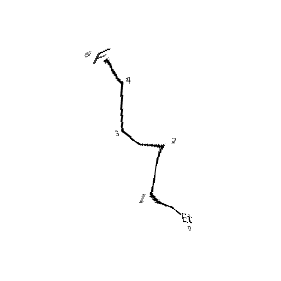 [CH2]CCCCCF